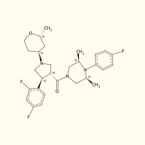 C[C@@H]1C[C@@H](N2C[C@H](C(=O)N3C[C@@H](C)N(c4ccc(F)cc4)[C@@H](C)C3)[C@@H](c3ccc(F)cc3F)C2)CCO1